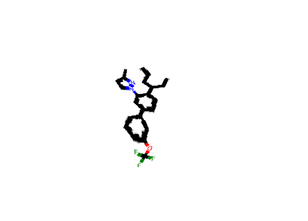 CCCC(CC)c1ccc(-c2cccc(OC(F)(F)F)c2)cc1-n1ccc(C)n1